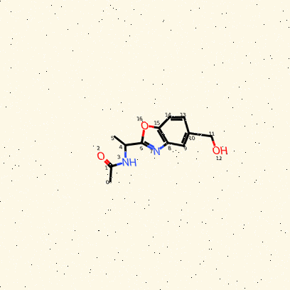 CC(=O)NC(C)c1nc2cc(CO)ccc2o1